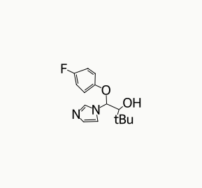 CC(C)(C)C(O)C(Oc1ccc(F)cc1)n1ccnc1